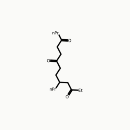 CCCC(=O)CCC(=O)CCC(CCC)CC(=O)CC